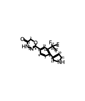 O=C1COC(c2ccc(C3=CCNC3)c(C(F)(F)F)c2)=NN1